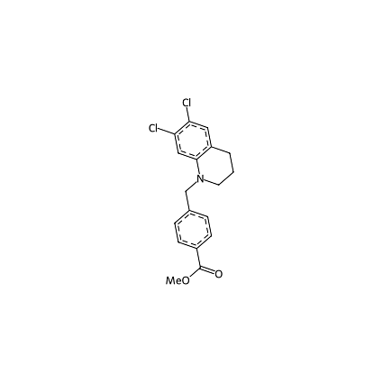 COC(=O)c1ccc(CN2CCCc3cc(Cl)c(Cl)cc32)cc1